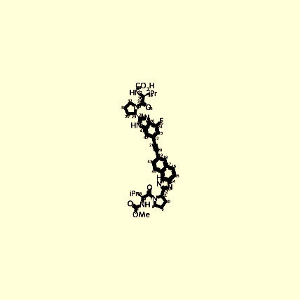 COC(=O)N[C@H](C(=O)N1CCCC1c1nc2ccc3cc(C#Cc4cc(F)c5nc([C@@H]6CCCN6C(=O)[C@@H](NC(=O)O)C(C)C)[nH]c5c4)ccc3c2[nH]1)C(C)C